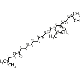 CC(C)CCOC(=O)CCCCCCCCCCCC(CC(=O)OCCC(C)C)C(C)C